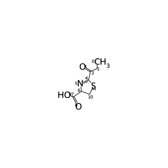 CCC(=O)C1=NC(C(=O)O)CS1